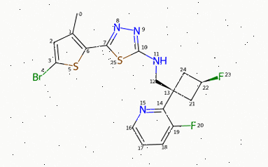 Cc1cc(Br)sc1-c1nnc(NC[C@]2(c3ncccc3F)C[C@H](F)C2)s1